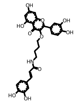 O=C(/C=C/c1ccc(O)c(O)c1)NCCCCOc1c(-c2ccc(O)c(O)c2)oc2cc(O)cc(O)c2c1=O